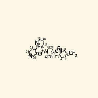 N#CC1(Cc2ccc(C(F)(F)F)cc2F)CCN(C(=O)c2cccnc2-c2ccncc2)CC1